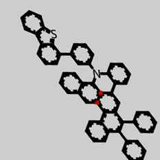 c1ccc(-c2c(-c3ccccc3)c3cc(-c4ccccc4N(c4cccc(-c5cccc6c5sc5ccccc56)c4)c4cccc5ccccc45)ccc3c3ccccc23)cc1